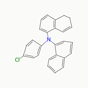 Clc1ccc(N(c2cccc3c2C=CCC3)c2cccc3ccccc23)cc1